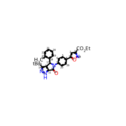 CCOC(=O)c1cc(-c2ccc(N3C(=O)c4[nH]nc(C(C)(C)C)c4C3c3ccccc3C)cc2)on1